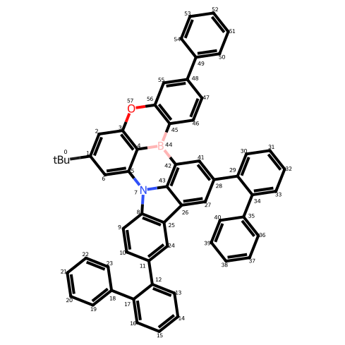 CC(C)(C)c1cc2c3c(c1)-n1c4ccc(-c5ccccc5-c5ccccc5)cc4c4cc(-c5ccccc5-c5ccccc5)cc(c41)B3c1ccc(-c3ccccc3)cc1O2